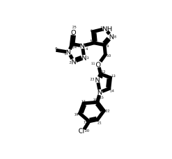 Cn1nnn(-c2c[nH]nc2COc2ccn(-c3ccc(Cl)cc3)n2)c1=O